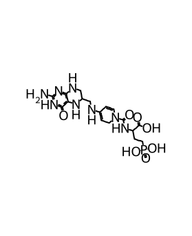 Nc1nc2c(c(=O)[nH]1)NC(CNC1=CCN(C(=O)NC(CCP(=O)(O)O)C(=O)O)C=C1)CN2